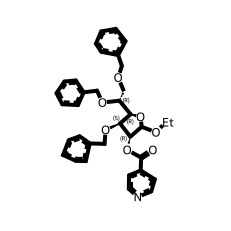 CCOC1O[C@H]([C@@H](COCc2ccccc2)OCc2ccccc2)[C@H](OCc2ccccc2)[C@H]1OC(=O)c1ccncc1